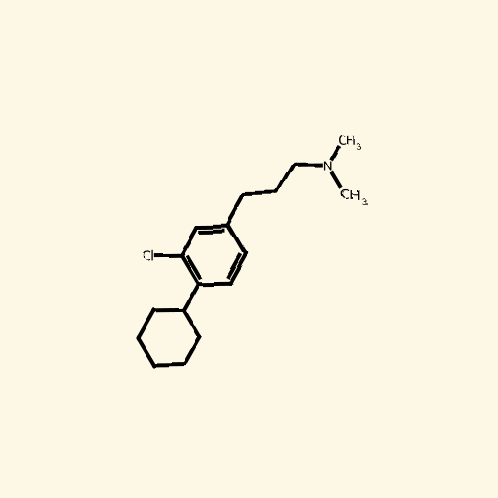 CN(C)CCCc1ccc(C2CCCCC2)c(Cl)c1